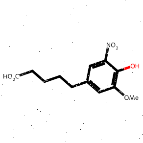 COc1cc(CCCCC(=O)O)cc([N+](=O)[O-])c1O